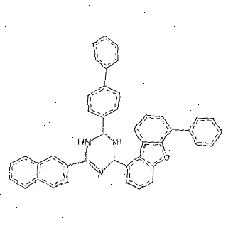 c1ccc(-c2ccc(C3NC(c4ccc5ccccc5c4)=NC(c4cccc5oc6c(-c7ccccc7)cccc6c45)N3)cc2)cc1